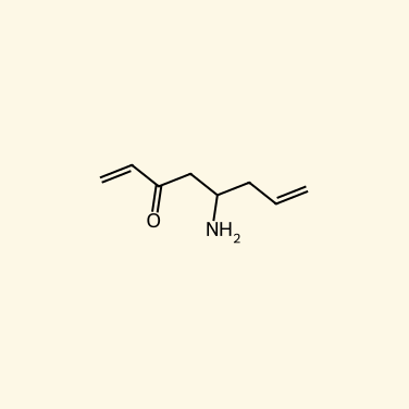 C=CCC(N)CC(=O)C=C